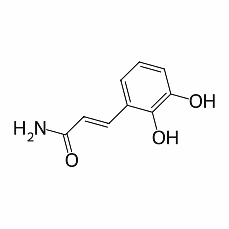 NC(=O)C=Cc1cccc(O)c1O